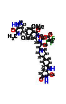 COc1cc(-c2cn(C)c(=O)c3[nH]ncc23)cc(OC)c1C(=O)N1CCN(C(=O)CN2CCC(c3ccc(NC4CCC(=O)NC4=O)cc3)CC2)CC1.O=C(O)C(F)(F)F